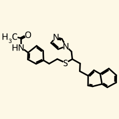 CC(=O)Nc1ccc(CCSC(CCc2ccc3ccccc3c2)Cn2ccnc2)cc1